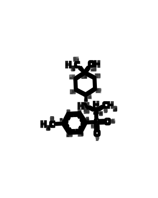 Cc1ccc(S(=O)(=O)[SH](C)N[C@H]2CC[C@@](C)(O)CC2)cc1